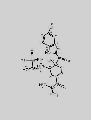 CN(C)C(=O)C1CCC(N)(C(=O)c2cc3cc(Cl)ccc3[nH]2)C(N)C1.O=C(O)C(F)(F)F